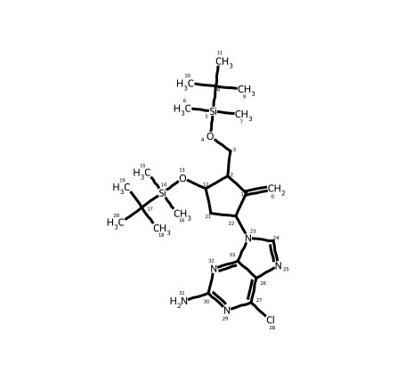 C=C1C(CO[Si](C)(C)C(C)(C)C)C(O[Si](C)(C)C(C)(C)C)CC1n1cnc2c(Cl)nc(N)nc21